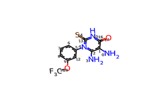 Nc1c(N)n(-c2cccc(OC(F)(F)F)c2)c(=S)[nH]c1=O